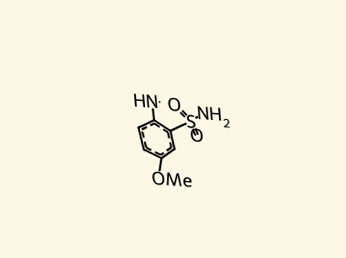 COc1ccc([NH])c(S(N)(=O)=O)c1